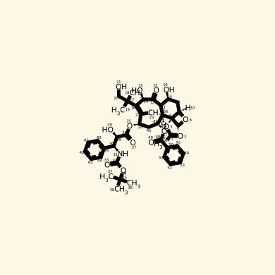 CC(=O)O[C@@]12CO[C@@H]1C[C@H](O)C1C(=O)[C@H](O)/C(C(C)(C)CO)=C(\C)[C@@H](OC(=O)[C@H](O)[C@@H](NC(=O)OC(C)(C)C)c3ccccc3)C[C@@H](OC(=O)c3ccccc3)[C@@H]12